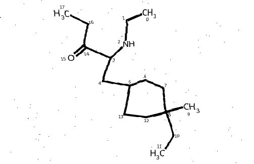 CCNC(CC1CCC(C)(CC)CC1)C(=O)CC